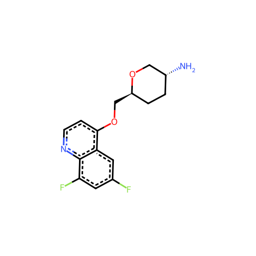 N[C@@H]1CC[C@@H](COc2ccnc3c(F)cc(F)cc23)OC1